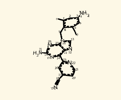 Cc1cc(N)cc(C)c1Cn1cnc2c(-c3cc(C#N)ccn3)nc(N)nc21